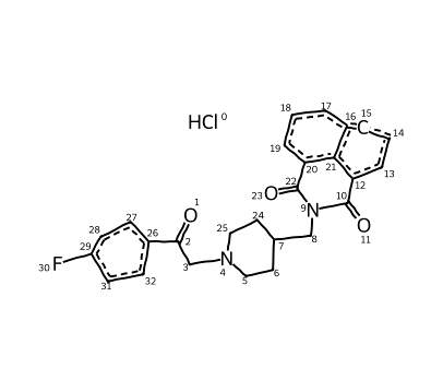 Cl.O=C(CN1CCC(CN2C(=O)c3cccc4cccc(c34)C2=O)CC1)c1ccc(F)cc1